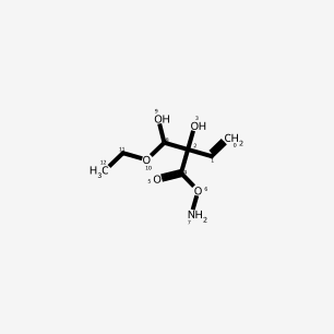 C=CC(O)(C(=O)ON)C(O)OCC